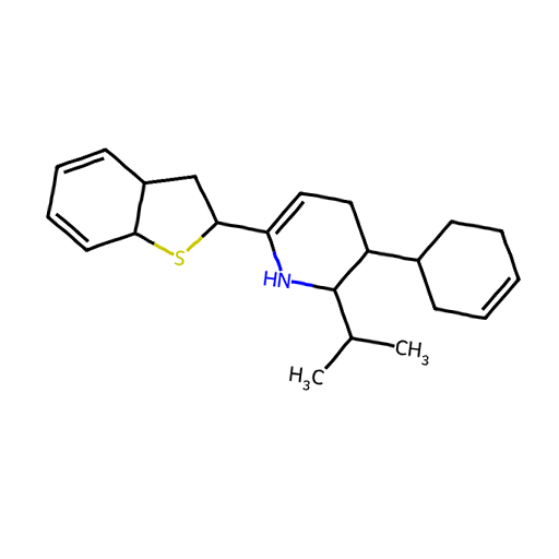 CC(C)C1NC(C2CC3C=CC=CC3S2)=CCC1C1CC=CCC1